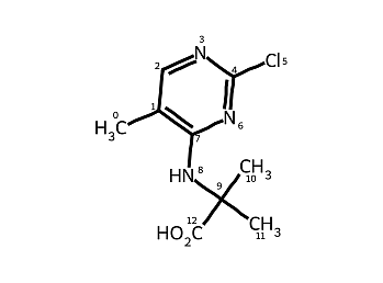 Cc1cnc(Cl)nc1NC(C)(C)C(=O)O